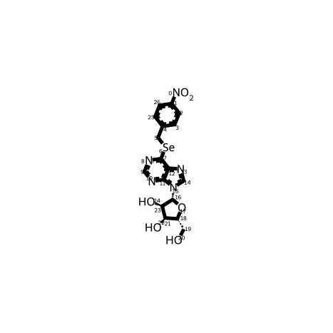 O=[N+]([O-])c1ccc(C[Se]c2ncnc3c2ncn3[C@@H]2O[C@H](CO)[C@@H](O)[C@H]2O)cc1